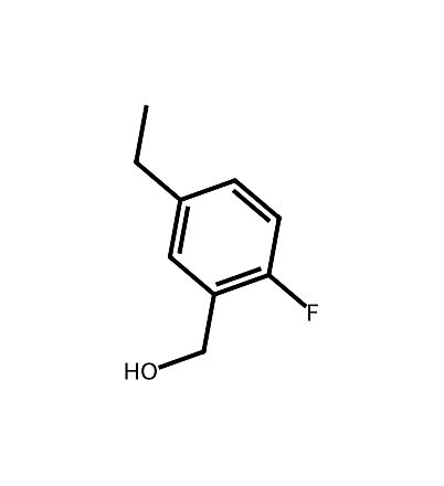 CCc1ccc(F)c(CO)c1